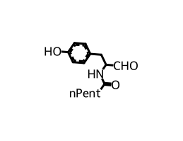 CCCCCC(=O)NC(C=O)Cc1ccc(O)cc1